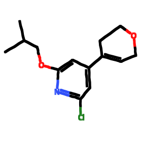 CC(C)COc1cc(C2=CCOCC2)cc(Cl)n1